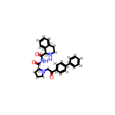 O=C(CN1CCC[C@H]1C(=O)NC(=O)C1NCCc2ccccc21)c1ccc(-c2ccccc2)cc1